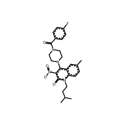 Cc1ccc2c(c1)c(N1CCN(C(=O)c3ccc(F)cc3)CC1)c([N+](=O)[O-])c(=O)n2CCC(C)C